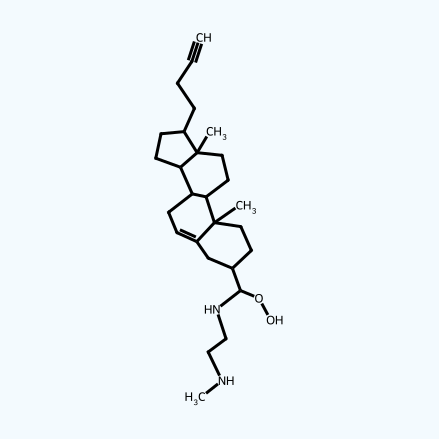 C#CCCC1CCC2C3CC=C4CC(C(NCCNC)OO)CCC4(C)C3CCC12C